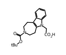 CC(C)(C)OC(=O)N1CCc2c(n(CC(=O)O)c3ccccc23)CC1